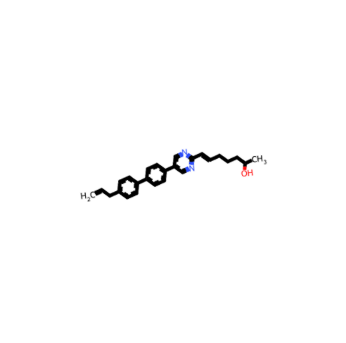 C=CCc1ccc(-c2ccc(-c3cnc(/C=C/CCCC(C)O)nc3)cc2)cc1